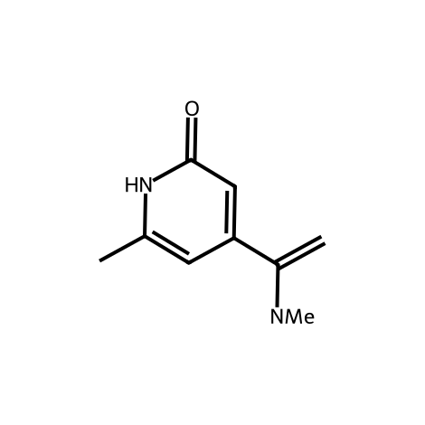 C=C(NC)c1cc(C)[nH]c(=O)c1